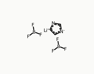 FB(F)F.FB(F)F.[Li+].c1c[n-]cn1